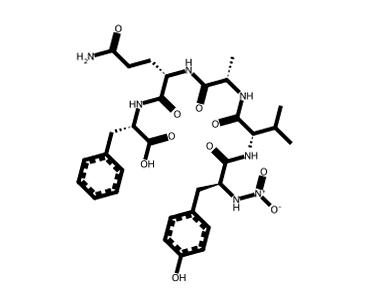 CC(C)[C@H](NC(=O)[C@H](Cc1ccc(O)cc1)N[N+](=O)[O-])C(=O)N[C@@H](C)C(=O)N[C@@H](CCC(N)=O)C(=O)N[C@@H](Cc1ccccc1)C(=O)O